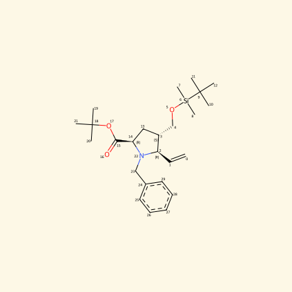 C=C[C@@H]1[C@@H](CO[Si](C)(C)C(C)(C)C)C[C@H](C(=O)OC(C)(C)C)N1Cc1ccccc1